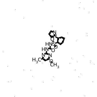 COc1cc(C)nc(NC(=O)NS(=O)(=O)c2ccccc2-n2cccn2)n1